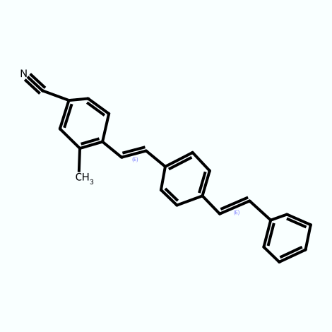 Cc1cc(C#N)ccc1/C=C/c1ccc(/C=C/c2ccccc2)cc1